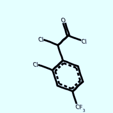 O=C(Cl)C(Cl)c1ccc(C(F)(F)F)cc1Cl